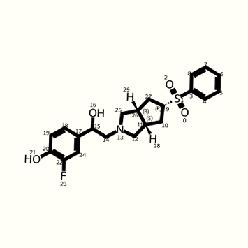 O=S(=O)(c1ccccc1)[C@@H]1C[C@@H]2CN(CC(O)c3ccc(O)c(F)c3)C[C@@H]2C1